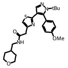 COc1ccc(-c2c(-c3nc(CC(=O)NCC4CCOCC4)cs3)cnn2C(C)(C)C)cc1